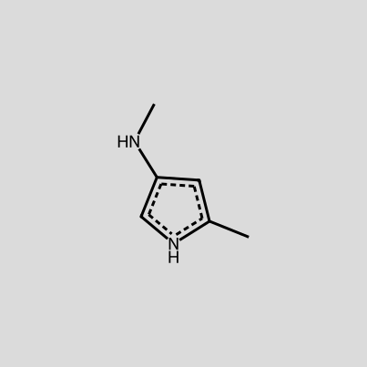 CNc1c[nH]c(C)c1